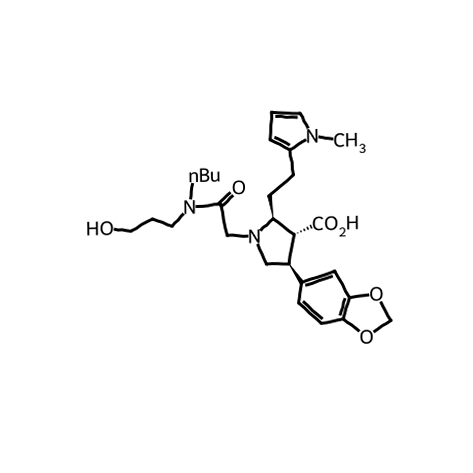 CCCCN(CCCO)C(=O)CN1C[C@H](c2ccc3c(c2)OCO3)[C@@H](C(=O)O)[C@@H]1CCc1cccn1C